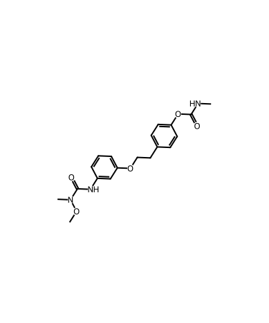 CNC(=O)Oc1ccc(CCOc2cccc(NC(=O)N(C)OC)c2)cc1